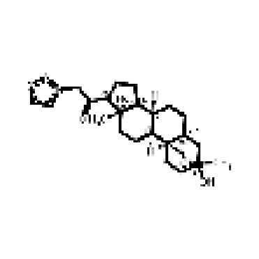 COC[C@]12CC[C@@](C)(O)C[C@@H]1CC[C@H]1[C@@H]3CC[C@H](C(=O)Cn4ccnn4)[C@@]3(C)CC[C@@H]12